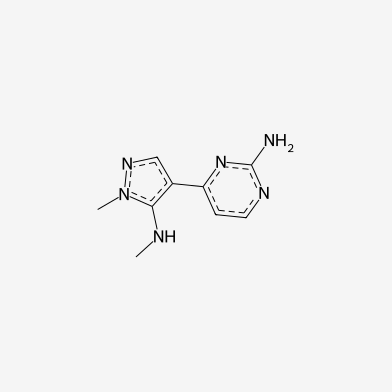 CNc1c(-c2ccnc(N)n2)cnn1C